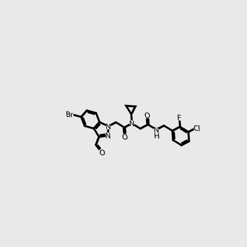 O=Cc1nn(CC(=O)N(CC(=O)NCc2cccc(Cl)c2F)C2CC2)c2ccc(Br)cc12